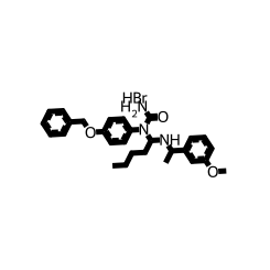 Br.CCCCC(NC(C)c1cccc(OC)c1)N(C(N)=O)c1ccc(OCc2ccccc2)cc1